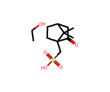 CC1(C)C2CCC1(CS(=O)(=O)O)C(=O)C2.CCO